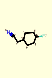 N#CCC1CCC(F)CC1